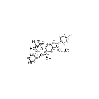 CCOC(=O)c1c(-c2ccc(F)cc2)oc2cc(N(CC(O)c3ccc(F)cc3)S(C)(=O)=O)c(C(C)O)cc12